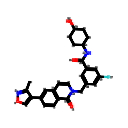 Cc1nocc1-c1ccc2c(=O)n(Cc3cc(F)cc(C(=O)NC4CCC(O)CC4)c3)ccc2c1